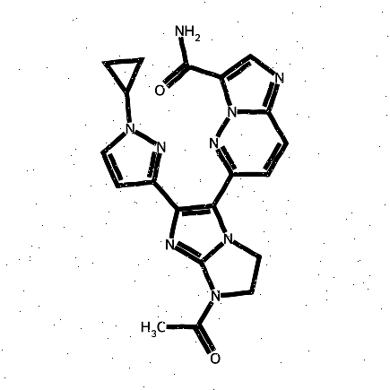 CC(=O)N1CCn2c1nc(-c1ccn(C3CC3)n1)c2-c1ccc2ncc(C(N)=O)n2n1